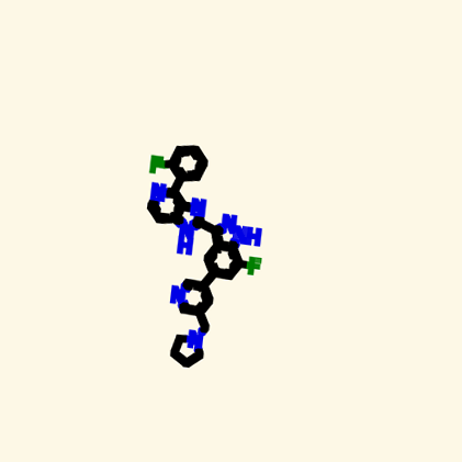 Fc1ccccc1-c1nccc2[nH]c(-c3n[nH]c4c(F)cc(-c5cncc(CN6CCCC6)c5)cc34)nc12